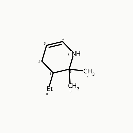 CCC1CC=CNC1(C)C